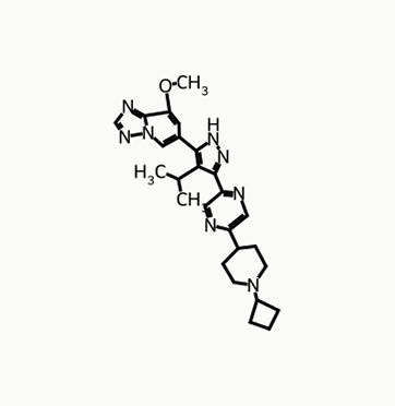 COc1cc(-c2[nH]nc(-c3cnc(C4CCN(C5CCC5)CC4)cn3)c2C(C)C)cn2ncnc12